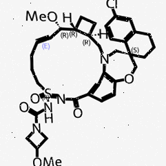 COC1CN(C(=O)N[S@@]2(=O)=NC(=O)c3ccc4c(c3)N(C[C@@H]3CC[C@H]3[C@@H](OC)/C=C/CCC2)C[C@@]2(CCCc3cc(Cl)ccc32)CO4)C1